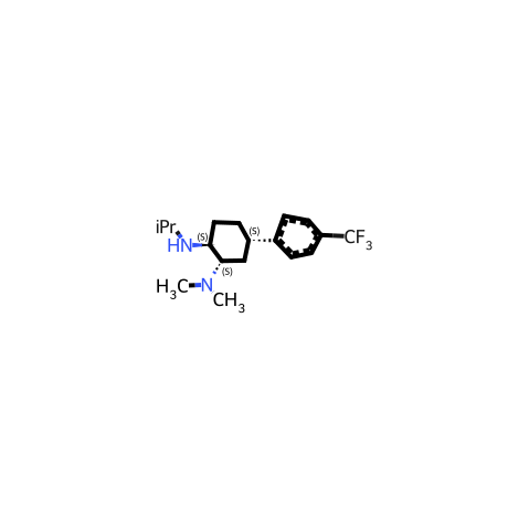 CC(C)N[C@H]1CC[C@H](c2ccc(C(F)(F)F)cc2)C[C@@H]1N(C)C